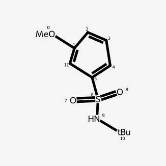 COc1cccc(S(=O)(=O)NC(C)(C)C)c1